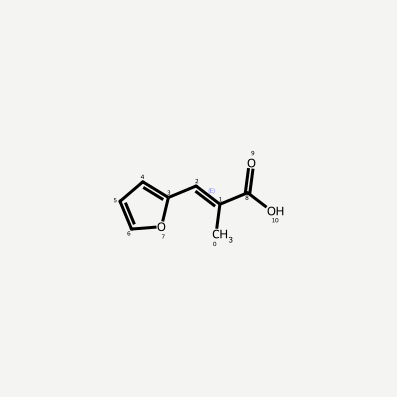 C/C(=C\c1ccco1)C(=O)O